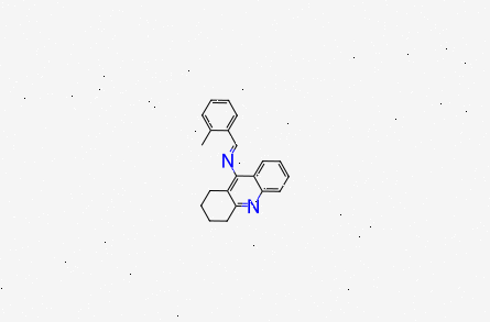 Cc1ccccc1C=Nc1c2c(nc3ccccc13)CCCC2